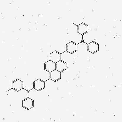 Cc1cccc(N(c2ccccc2)c2ccc(-c3ccc4ccc5c(-c6ccc(N(c7ccccc7)c7cccc(C)c7)cc6)ccc6ccc3c4c65)cc2)c1